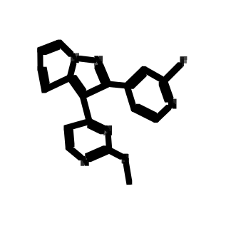 CSc1nccc(-c2c(-c3ccnc(F)c3)nn3ccccc23)n1